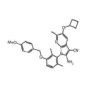 COc1ccc(COc2ccc(C)c(-n3c(N)c(C#N)c4cc(OC5CCC5)c(C)nc43)c2C)cc1